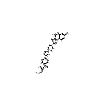 CC(C)c1cccc(O[C@H](C)c2nnc([C@H]3CC[C@H](n4cc([C@@H]5CC[C@@H](NC(=O)OC(C)(C)C)CO5)nn4)CC3)n2C)c1